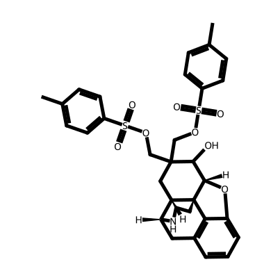 Cc1ccc(S(=O)(=O)OCC2(COS(=O)(=O)c3ccc(C)cc3)C[C@H]3[C@H]4Cc5cccc6c5[C@@]3(CCN4)[C@@H](O6)C2O)cc1